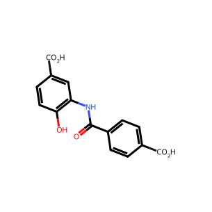 O=C(O)c1ccc(C(=O)Nc2cc(C(=O)O)ccc2O)cc1